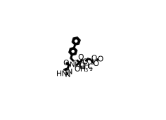 Cc1oc(=O)oc1COC(=O)[C@@](C)(CO)C[C@@H](Cc1ccc(-c2ccccc2)cc1)NC(=O)c1c[nH]nn1